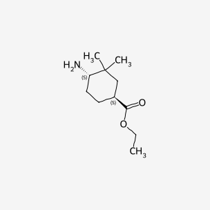 CCOC(=O)[C@H]1CC[C@H](N)C(C)(C)C1